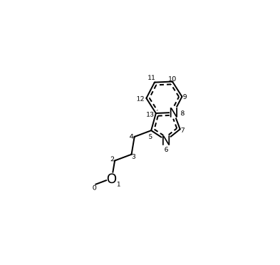 COCCCc1ncn2ccccc12